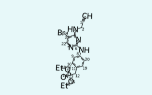 C#CCNc1nc(Nc2ccc(CP(=O)(OCC)OCC)cc2)ncc1Br